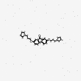 O=C1c2cc(OCCCN3CCCC3)ccc2-c2ccc(OCCCN3CCCC3)cc21